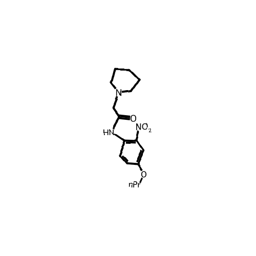 CCCOc1ccc(NC(=O)CN2CCCCC2)c([N+](=O)[O-])c1